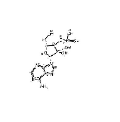 Nc1ncnc2c1ncn2[C@@H]1O[C@H](CO)[C@@H](OP(O)(O)=S)[C@H]1O